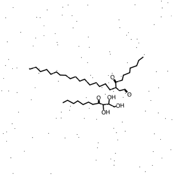 CCCCCCCC(=O)C(O)C(O)CO.CCCCCCCCCCCCCCCCCC(CC=O)C(=O)CCCCCCC